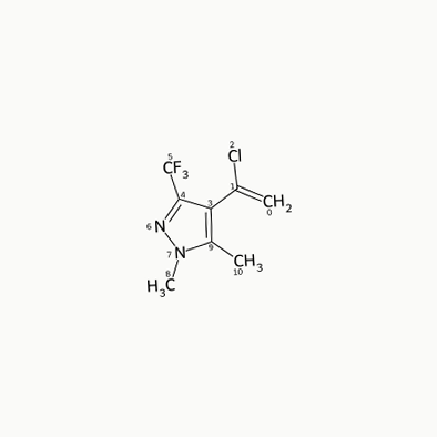 C=C(Cl)c1c(C(F)(F)F)nn(C)c1C